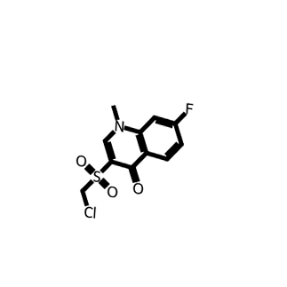 Cn1cc(S(=O)(=O)CCl)c(=O)c2ccc(F)cc21